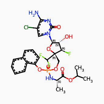 CC(C)OC(=O)[C@H](C)NP(=O)(OC[C@@]1(C(F)F)O[C@@H](n2cc(Cl)c(N)nc2=O)[C@H](O)[C@H]1F)Oc1cccc2ccccc12